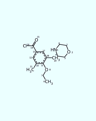 C1COCCN1.CCOc1c(C)cc(C(=O)Cl)cc1C